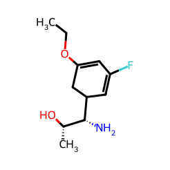 CCOC1=CC(F)=CC([C@H](N)[C@H](C)O)C1